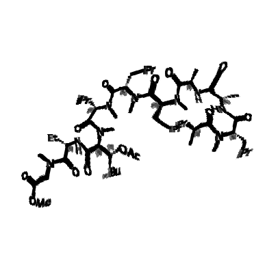 CC[C@H](NC(=O)[C@H]([C@H](OC(C)=O)[C@H](C)CC)N(C)C(=O)[C@H](C(C)C)N(C)C(=O)[C@H](CC(C)C)N(C)C(=O)[C@H](CC(C)C)N(C)C(=O)[C@@H](C)NC(=O)[C@H](C)NC(=O)[C@H](CC(C)C)N(C)C(=O)[C@@H](C)C(C)C)C(=O)N(C)CC(=O)OC